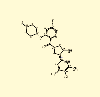 CC1=N/C(=C2\CN(C(=O)c3ccc(F)cc3O[C@H]3CC[C@H](F)CC3)CC2=N)NC(C)=C1Cl